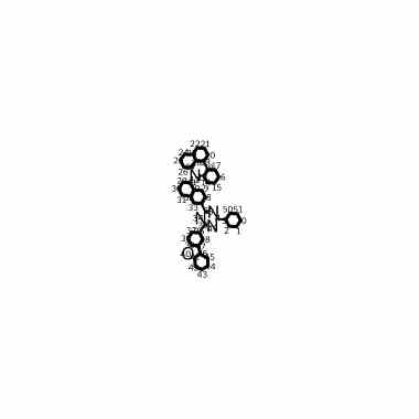 c1ccc(-c2nc(-c3ccc4c(N5c6ccccc6-c6cccc7cccc5c67)cccc4c3)nc(-c3ccc4oc5ccccc5c4c3)n2)cc1